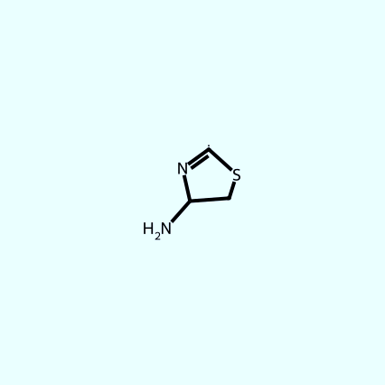 NC1CS[C]=N1